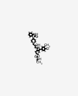 CCNC(=O)ON1CCc2c(c(-c3ccc(Cl)c(C)c3)nn2CC(O)CN2CCC(n3c(=O)[nH]c4ccccc43)CC2)C1